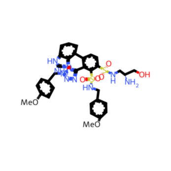 COc1ccc(CNS(=O)(=O)c2c(S(=O)(=O)NC[C@@H](N)CO)ccc(-c3cccc4[nH]c(N)nc34)c2-c2nnn(Cc3ccc(OC)cc3)n2)cc1